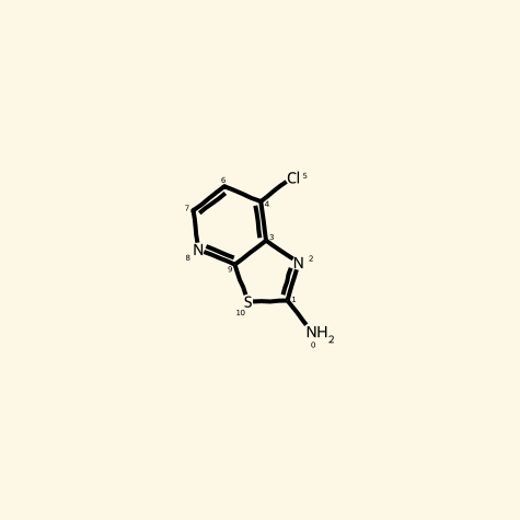 Nc1nc2c(Cl)ccnc2s1